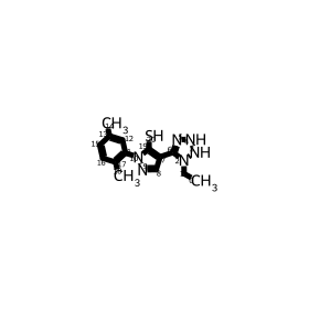 CCN1NNN=C1c1cnn(-c2cc(C)ccc2C)c1S